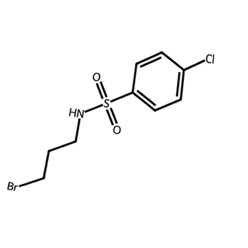 O=S(=O)(NCCCBr)c1ccc(Cl)cc1